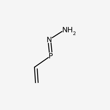 C=CP=NN